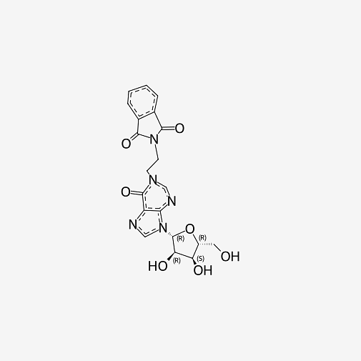 O=C1c2ccccc2C(=O)N1CCn1cnc2c(ncn2[C@@H]2O[C@H](CO)[C@@H](O)[C@H]2O)c1=O